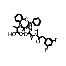 CC(C(=O)O)N1C(=O)[C@@H](NC(=O)[C@H](C)NC(=O)Cc2cc(F)cc(F)c2)[C@@H](c2ccccc2)Oc2ccccc21